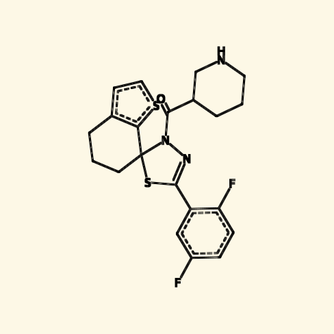 O=C(C1CCCNC1)N1N=C(c2cc(F)ccc2F)SC12CCCc1ccsc12